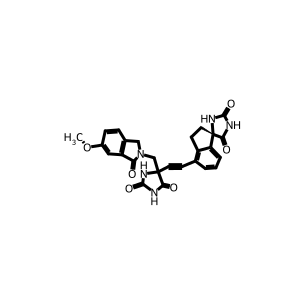 COc1ccc2c(c1)C(=O)N(CC1(C#Cc3cccc4c3CC[C@]43NC(=O)NC3=O)NC(=O)NC1=O)C2